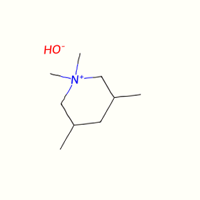 CC1CC(C)C[N+](C)(C)C1.[OH-]